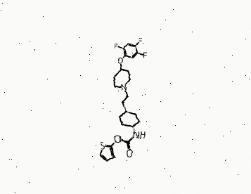 O=C(N[C@H]1CC[C@H](CCN2CCC(Oc3cc(F)c(F)cc3F)CC2)CC1)Oc1cccs1